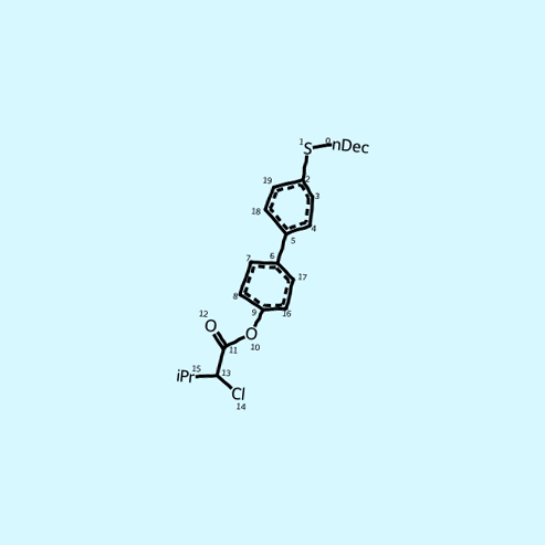 CCCCCCCCCCSc1ccc(-c2ccc(OC(=O)C(Cl)C(C)C)cc2)cc1